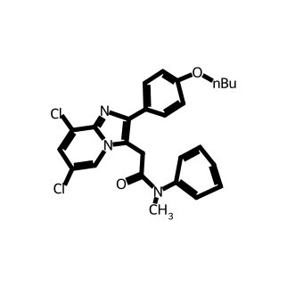 CCCCOc1ccc(-c2nc3c(Cl)cc(Cl)cn3c2CC(=O)N(C)c2ccccc2)cc1